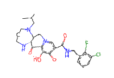 CC(C)CN1CCCNC2C(=O)c3c(O)c(=O)c(C(=O)NCc4cccc(Cl)c4F)cn3CC21